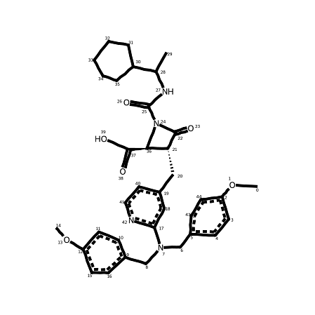 COc1ccc(CN(Cc2ccc(OC)cc2)c2cc(C[C@H]3C(=O)N(C(=O)NC(C)C4CCCCC4)[C@@H]3C(=O)O)ccn2)cc1